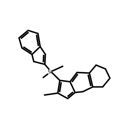 CC1=C([Si](C)(C)C2=Cc3ccccc3C2)C2=CC3=C(CCCC3)CC2=C1